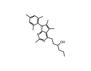 CCCC(O)CCc1nc(C)nc2c1c(C)c(C)n2-c1c(C)cc(C)cc1C